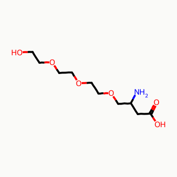 NC(COCCOCCOCCO)CC(=O)O